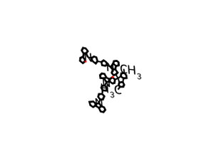 Cc1ccc2c(c1)C(c1ccc3c(c1)c1ccccc1n3-c1ccc(-c3ccc(-n4c5ccccc5c5ccccc54)cc3)cc1)(c1ccc3c(c1)c1ccccc1n3-c1ccc(-c3ccc(-n4c5ccccc5c5ccccc54)cc3)cc1)c1cc(C)ccc1-2